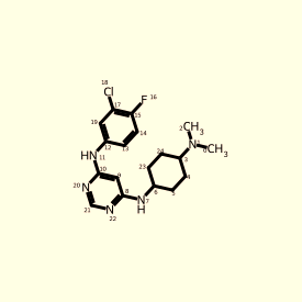 CN(C)C1CCC(Nc2cc(Nc3ccc(F)c(Cl)c3)ncn2)CC1